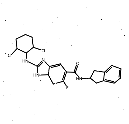 O=C(NC1Cc2ccccc2C1)C1=C(F)CC2NC(NC3C(Cl)CCCC3Cl)=NC2=C1